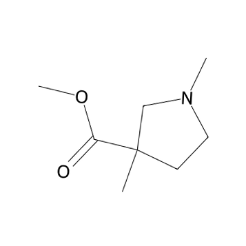 COC(=O)C1(C)CCN(C)C1